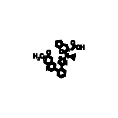 CN1Cc2ncc(-c3ccccc3-c3csc(N(C(=O)[C@@H](CC(=O)O)CC4CCCC4)C4CC4)n3)cc2CC1=O